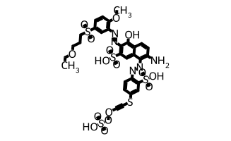 CCOCCCS(=O)(=O)c1ccc(OC)c(N=Nc2c(S(=O)(=O)O)cc3c(N=Nc4ccc(SC#COOS(=O)(=O)O)cc4S(=O)(=O)O)c(N)ccc3c2O)c1